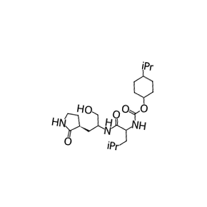 CC(C)CC(NC(=O)OC1CCC(C(C)C)CC1)C(=O)NC(CO)C[C@@H]1CCNC1=O